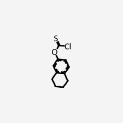 S=C(Cl)Oc1ccc2c(c1)CCCC2